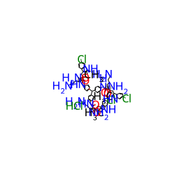 Cc1[nH]c2cc(Cl)ccc2c1CC(=O)[C@@](N)(CCCCN)C(=O)Nc1ccc(C(c2ccc(NC(=O)[C@](N)(CCCCN)C(=O)Cc3c(C)[nH]c4cc(Cl)ccc34)cc2)c2ccc(NC(=O)[C@](N)(CCCCN)C(=O)Cc3c(C)[nH]c4cc(Cl)ccc34)cc2)cc1.Cl